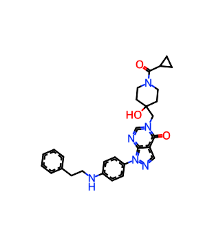 O=C(C1CC1)N1CCC(O)(Cn2cnc3c(cnn3-c3ccc(NCCc4ccccc4)cc3)c2=O)CC1